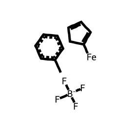 Cc1ccccc1.F[B-](F)(F)F.[Fe][C]1=CC=CC1